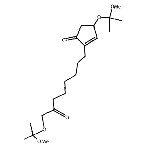 COC(C)(C)OCC(=O)CCCCCCC1=CC(OC(C)(C)OC)CC1=O